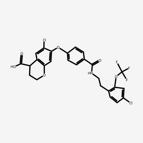 O=C(NCCc1ccc(Cl)cc1OC(F)(F)F)c1ccc(Oc2cc3c(cc2Cl)C(C(=O)O)CCO3)cc1